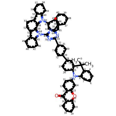 CC1(C)c2ccccc2N(c2ccc3c(=O)c4ccccc4oc3c2)c2ccc(-c3ccc(-c4nc(-c5ccccc5)nc(-n5c6ccccc6c6ccc7c8ccccc8n(-c8ccccc8)c7c65)n4)cc3)cc21